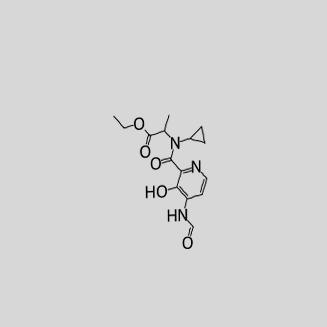 CCOC(=O)C(C)N(C(=O)c1nccc(NC=O)c1O)C1CC1